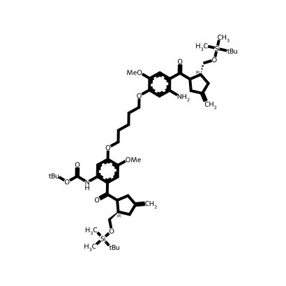 C=C1CC(C(=O)c2cc(OC)c(OCCCCCOc3cc(NC(=O)OC(C)(C)C)c(C(=O)C4CC(=C)C[C@H]4CO[Si](C)(C)C(C)(C)C)cc3OC)cc2N)[C@H](CO[Si](C)(C)C(C)(C)C)C1